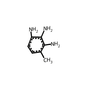 Cc1ccc(N)c(N)c1N